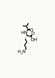 CC(C)C(=O)N[C@@H](CCCCN)C(=O)O